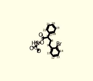 O=C(ON[SH](=O)=O)C(CCc1ccccc1Br)c1ccccc1